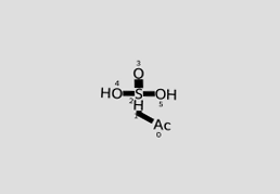 CC(=O)C[SH](=O)(O)O